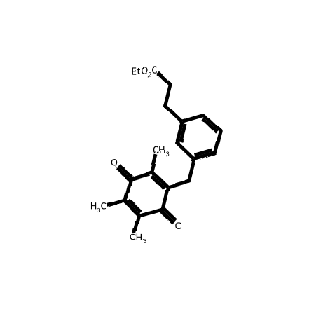 CCOC(=O)CCc1cccc(CC2=C(C)C(=O)C(C)=C(C)C2=O)c1